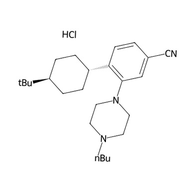 CCCCN1CCN(c2cc(C#N)ccc2[C@H]2CC[C@H](C(C)(C)C)CC2)CC1.Cl